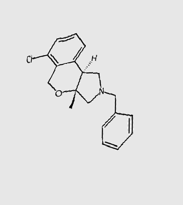 C[C@]12CN(Cc3ccccc3)C[C@@H]1c1cccc(Cl)c1CO2